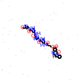 COc1cc2c(cc1OCCCC(=O)Nc1cc(C(=O)Nc3cn(C)c(C(=O)Nc4cc(C(=O)Nc5cc(C=O)n(C)c5)n(C)c4)n3)n(C)c1)N=C[C@@H]1Cc3ccccc3N1C2=O